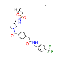 C=CS(=O)(=O)NC[C@@H]1CCN(C(=O)c2ccc(CC(=O)NCc3ccc(C(F)(F)F)cc3)cc2)C1